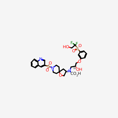 O=C(O)N(C[C@H](O)COc1cccc(S(=O)(=O)C(F)(F)CO)c1)[C@H]1COC2(CCN(S(=O)(=O)c3cnc4ccccc4c3)CC2)C1